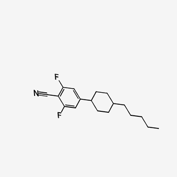 CCCCCC1CCC(c2cc(F)c(C#N)c(F)c2)CC1